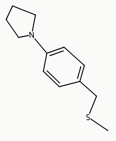 CSCc1ccc(N2CCCC2)cc1